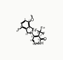 COc1ccc(F)c2c1CN(c1cn[nH]c(=O)c1C(F)(F)F)C2